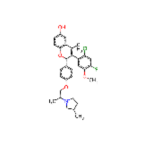 COc1cc(C2=C(C)c3cc(O)ccc3OC2c2ccc(OCC(C)N3CCC(C)C3)cc2)c(Cl)cc1F